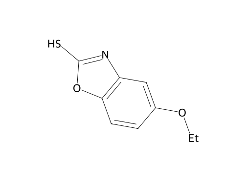 CCOc1ccc2oc(S)nc2c1